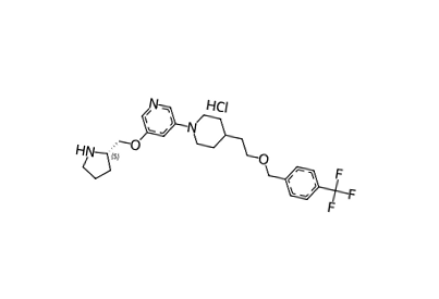 Cl.FC(F)(F)c1ccc(COCCC2CCN(c3cncc(OC[C@@H]4CCCN4)c3)CC2)cc1